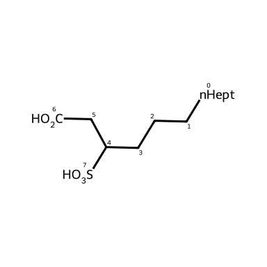 CCCCCCCCCCC(CC(=O)O)S(=O)(=O)O